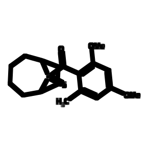 COc1cc(C)c(C(=O)P2(=S)C3CCCCC2CC3)c(OC)c1